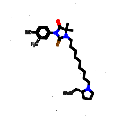 COC[C@H]1CCCN1CCCCCCCCCN1C(=S)N(c2ccc(C#N)c(C(F)(F)F)c2)C(=O)C1(C)C